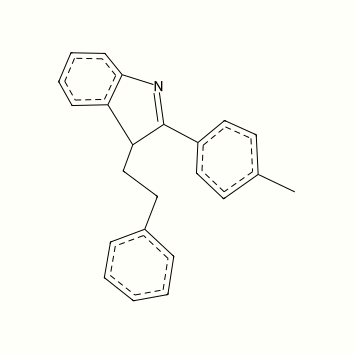 Cc1ccc(C2=Nc3ccccc3C2CCc2ccccc2)cc1